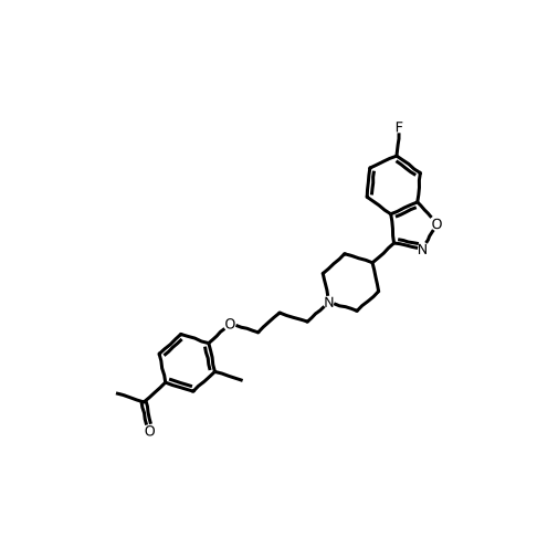 CC(=O)c1ccc(OCCCN2CCC(c3noc4cc(F)ccc34)CC2)c(C)c1